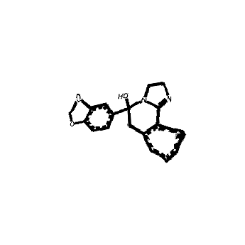 OC1(c2ccc3c(c2)OCO3)Cc2ccccc2C2=NCCN21